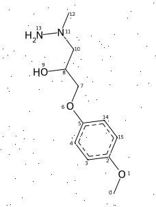 COc1ccc(OCC(O)CN(C)N)cc1